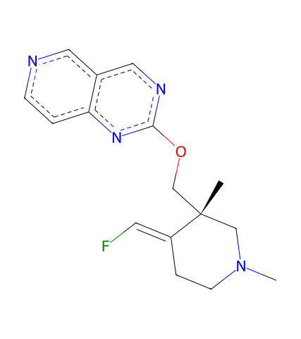 CN1CC/C(=C\F)[C@](C)(COc2ncc3cnccc3n2)C1